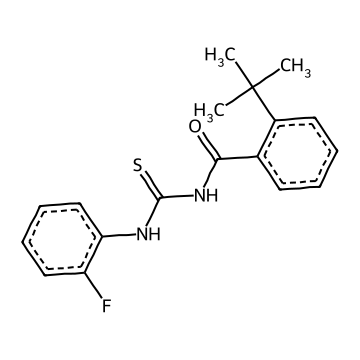 CC(C)(C)c1ccccc1C(=O)NC(=S)Nc1ccccc1F